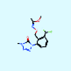 COC(C)=NOCc1c(C(F)F)cccc1-n1nnn(C)c1=O